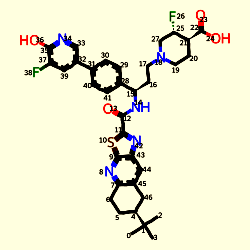 CC(C)(C)[C@H]1CCc2nc3sc(C(=O)N[C@H](CCN4CC[C@H](C(=O)O)[C@@H](F)C4)c4ccc(-c5cnc(O)c(F)c5)cc4)nc3cc2C1